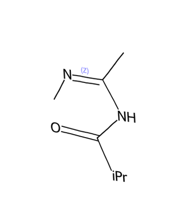 C/N=C(/C)NC(=O)C(C)C